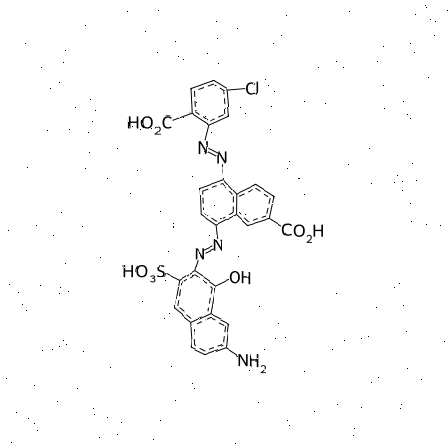 Nc1ccc2cc(S(=O)(=O)O)c(N=Nc3ccc(N=Nc4cc(Cl)ccc4C(=O)O)c4ccc(C(=O)O)cc34)c(O)c2c1